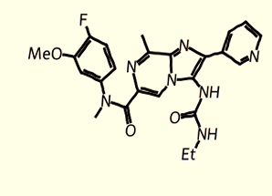 CCNC(=O)Nc1c(-c2cccnc2)nc2c(C)nc(C(=O)N(C)c3ccc(F)c(OC)c3)cn12